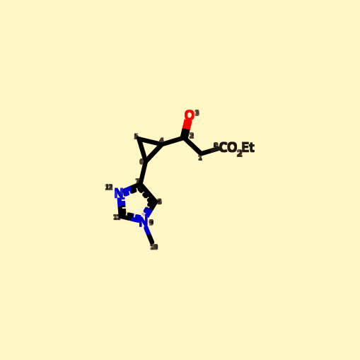 CCOC(=O)CC(=O)C1CC1c1cn(C)cn1